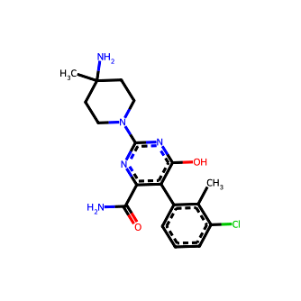 Cc1c(Cl)cccc1-c1c(O)nc(N2CCC(C)(N)CC2)nc1C(N)=O